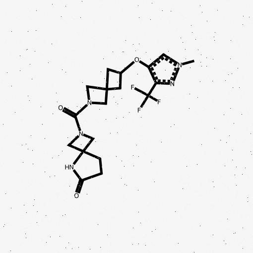 Cn1cc(OC2CC3(C2)CN(C(=O)N2CC4(CCC(=O)N4)C2)C3)c(C(F)(F)F)n1